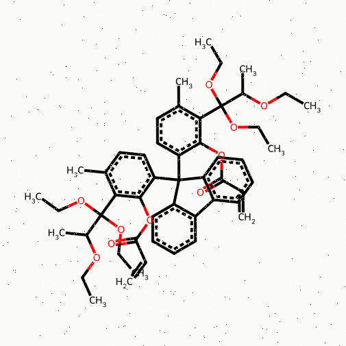 C=CC(=O)Oc1c(C2(c3ccc(C)c(C(OCC)(OCC)C(C)OCC)c3OC(=O)C=C)c3ccccc3-c3ccccc32)ccc(C)c1C(OCC)(OCC)C(C)OCC